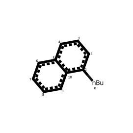 CCCCc1c[c]cc2ccccc12